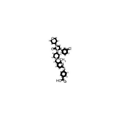 Cc1nc(Sc2ccc(C(=O)O)cc2)ccc1CN1CCC(N2C(=O)N(C3CCOCC3)C[C@H]2c2cccc(Cl)c2)CC1